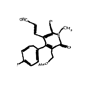 COCc1c(-c2ccc(F)cc2)c(C=CC=O)c(C(C)C)n(C)c1=O